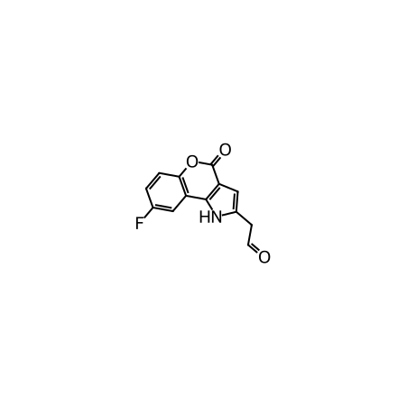 O=CCc1cc2c(=O)oc3ccc(F)cc3c2[nH]1